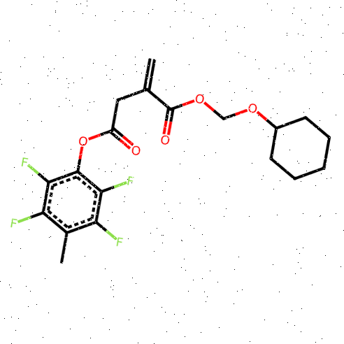 C=C(CC(=O)Oc1c(F)c(F)c(C)c(F)c1F)C(=O)OCOC1CCCCC1